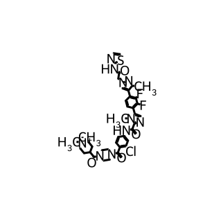 Cc1nn(CC(=O)Nc2nccs2)cc1-c1ccc(-c2cnc(C(=O)Nc3ccc(C(=O)N4CCN(C(=O)C5CC[N+](C)(C)CC5)CC4)c(Cl)c3)n2C)c(F)c1F